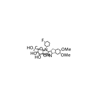 COc1cc2c(cc1OC)-c1n[nH]c(N(c3cccc(F)c3)[C@@H]3O[C@H](C(=O)O)[C@@H](O)[C@H](O)[C@H]3O)c1C2